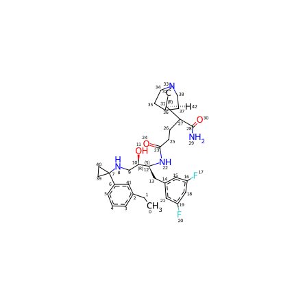 CCc1cccc(C2(NC[C@@H](O)[C@H](Cc3cc(F)cc(F)c3)NC(=O)CCC(C(N)=O)[C@@H]3CN4CCC3CC4)CC2)c1